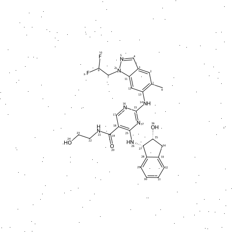 Cc1cc2cnn(CC(F)F)c2cc1Nc1ncc(C(=O)NCCO)c(N[C@H]2c3ccccc3C[C@H]2O)n1